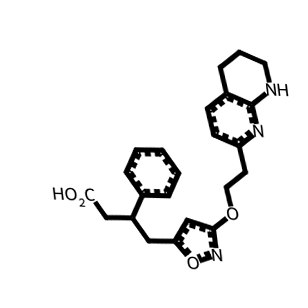 O=C(O)CC(Cc1cc(OCCc2ccc3c(n2)NCCC3)no1)c1ccccc1